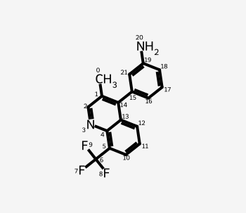 Cc1cnc2c(C(F)(F)F)cccc2c1-c1cccc(N)c1